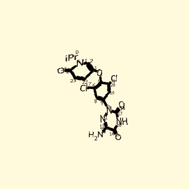 CC(C)n1cc(Oc2c(Cl)cc(-n3nc(N)c(=O)[nH]c3=O)cc2Cl)ccc1=O